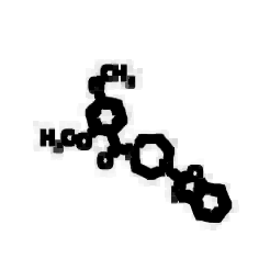 COc1ccc(C(=O)N2CCCN(c3nc4ccccc4o3)CC2)c(OC)c1